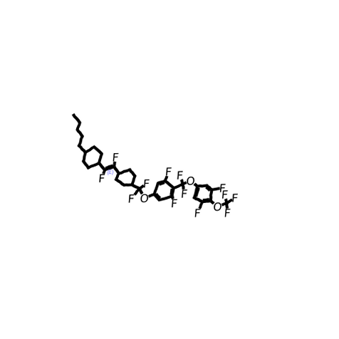 CCCCCC1CCC(/C(F)=C(\F)C2CCC(C(F)(F)Oc3cc(F)c(C(F)(F)Oc4cc(F)c(OC(F)(F)F)c(F)c4)c(F)c3)CC2)CC1